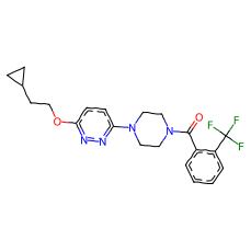 O=C(c1ccccc1C(F)(F)F)N1CCN(c2ccc(OCCC3CC3)nn2)CC1